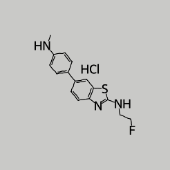 CNc1ccc(-c2ccc3nc(NCCF)sc3c2)cc1.Cl